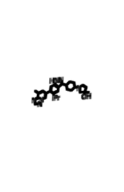 Cc1cc(-c2cc3[nH]nc(C4CCC(N5CCC(C)(O)C5)CC4)c3cc2C(C)C)cn2ncnc12